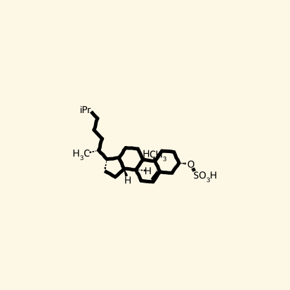 CC(C)CCC[C@@H](C)[C@H]1CC[C@@H]2C1CC[C@H]1[C@H]2CC=C2C[C@@H](OS(=O)(=O)O)CC[C@@]21C